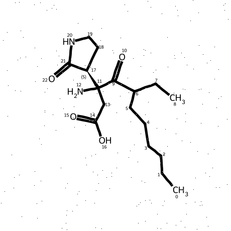 CCCCCCC(CC)C(=O)C(N)(CC(=O)O)[C@@H]1CCNC1=O